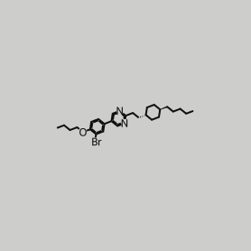 CCCCC[C@H]1CC[C@H](CCc2ncc(-c3ccc(OCCCC)c(Br)c3)cn2)CC1